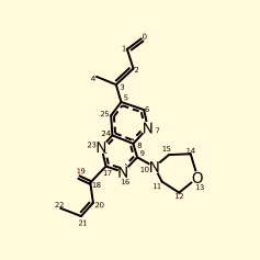 C=C/C=C(\C)c1cnc2c(N3CCOCC3)nc(C(=C)/C=C\C)nc2c1